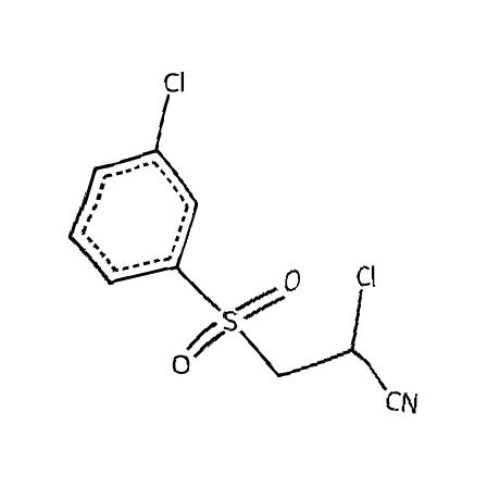 N#CC(Cl)CS(=O)(=O)c1cccc(Cl)c1